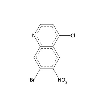 O=[N+]([O-])c1cc2c(Cl)ccnc2cc1Br